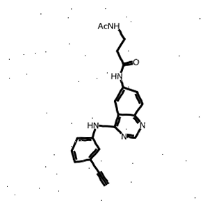 C#Cc1cccc(Nc2ncnc3ccc(NC(=O)CCNC(C)=O)cc23)c1